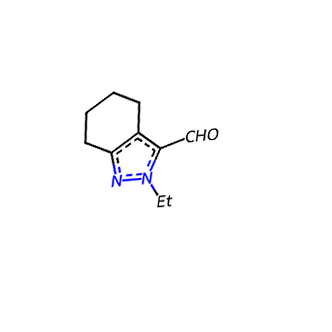 CCn1nc2c(c1C=O)CCCC2